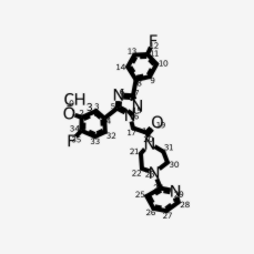 COc1cc(-c2nc(-c3ccc(F)cc3)nn2CC(=O)N2CCN(c3ccccn3)CC2)ccc1F